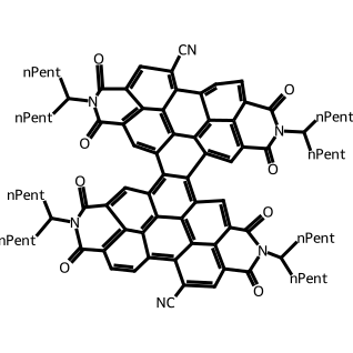 CCCCCC(CCCCC)n1c(=O)c2ccc3c4c(C#N)cc5c(=O)n(C(CCCCC)CCCCC)c(=O)c6cc7c8c9cc%10c(=O)n(C(CCCCC)CCCCC)c(=O)c%11ccc%12c%13c(C#N)cc%14c(=O)n(C(CCCCC)CCCCC)c(=O)c%15cc(c8c8cc(c1=O)c2c3c8c7c4c56)c(c9c%12c%11%10)c%13c%14%15